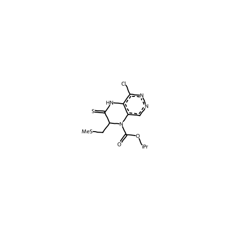 CSCC1C(=S)Nc2c(cnnc2Cl)N1C(=O)OC(C)C